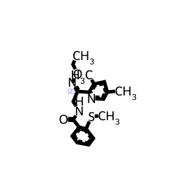 CCO/N=C(/CNC(=O)c1ccccc1SC)c1ncc(C)cc1C